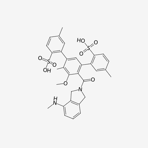 CNc1cccc2c1CN(C(=O)c1c(-c3cc(C)ccc3S(=O)(=O)O)cc(-c3cc(C)ccc3S(=O)(=O)O)c(C)c1OC)C2